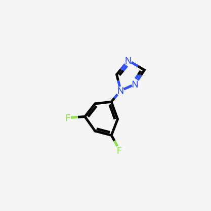 Fc1cc(F)cc(-n2cncn2)c1